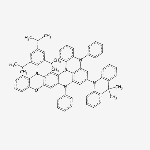 CC(C)c1cc(C(C)C)c(B2c3ccccc3Oc3cc4c(cc32)B2c3ccccc3N(c3ccccc3)c3cc(N5c6ccccc6C(C)(C)c6ccccc65)cc(c32)N4c2ccccc2)c(C(C)C)c1